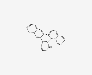 C1=Cc2c(c3c4ccccc4ccc3c3cc4ccccc4nc23)NC1